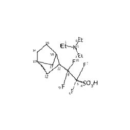 CCN(CC)CC.O=S(=O)(O)C(F)(F)C(F)(F)C1CC2CCC1C2